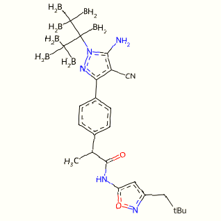 BC(B)(B)C(B)(n1nc(-c2ccc(C(C)C(=O)Nc3cc(CC(C)(C)C)no3)cc2)c(C#N)c1N)C(B)(B)B